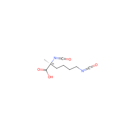 C[C@@](CCCCN=C=O)(N=C=O)C(=O)O